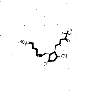 CCCC(F)(F)C(=O)CCC[C@@H]1[C@@H](C/C=C\CCCC(=O)O)[C@H](O)C[C@H]1O